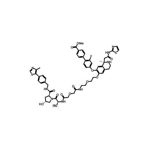 COC(=O)c1ccc(-c2ccc(Oc3cc4c(cc3OCCOCCNC(=O)COCC(=O)N[C@H](C(=O)N3C[C@H](O)C[C@H]3C(=O)NCc3ccc(-c5scnc5C)cc3)C(C)(C)C)CCN[C@]4(C)CC(=O)Nc3nccs3)cc2F)cc1